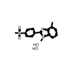 Cc1cccc2c1nc(-c1ccc(S(C)(=O)=O)cc1)n2C.Cl.Cl